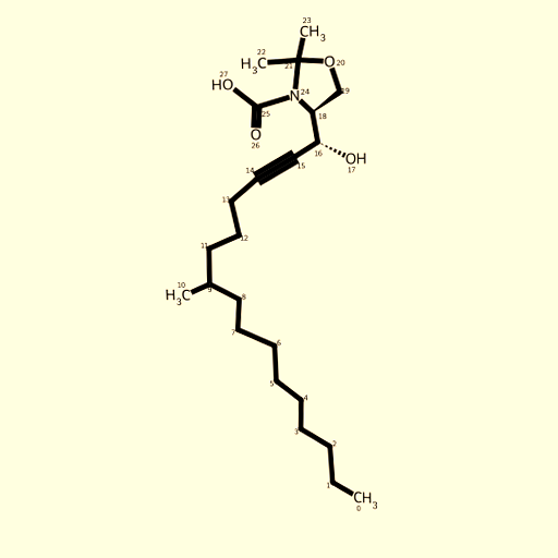 CCCCCCCCCC(C)CCCC#C[C@@H](O)[C@@H]1COC(C)(C)N1C(=O)O